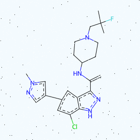 C=C(NC1CCN(CC(C)(C)F)CC1)c1n[nH]c2c(Cl)cc(-c3cnn(C)c3)cc12